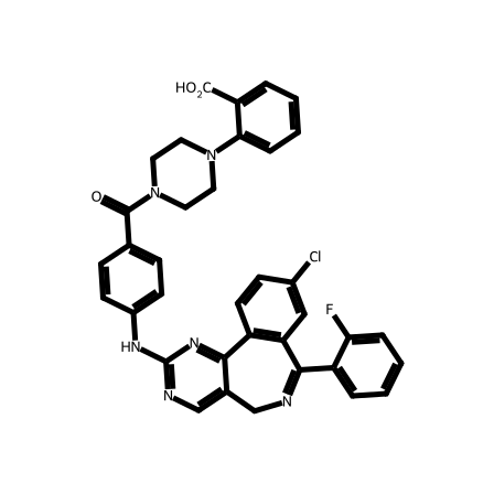 O=C(O)c1ccccc1N1CCN(C(=O)c2ccc(Nc3ncc4c(n3)-c3ccc(Cl)cc3C(c3ccccc3F)=NC4)cc2)CC1